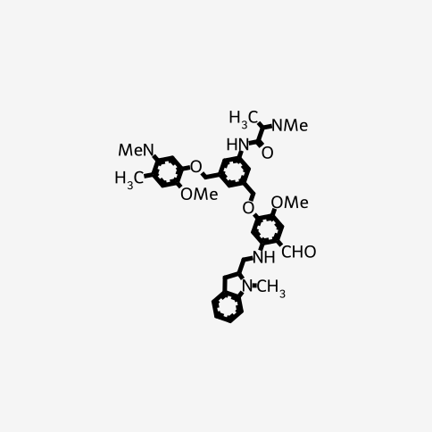 CNc1cc(OCc2cc(COc3cc(NCC4Cc5ccccc5N4C)c(C=O)cc3OC)cc(NC(=O)C(C)NC)c2)c(OC)cc1C